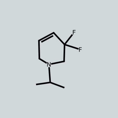 CC(C)N1CC=CC(F)(F)C1